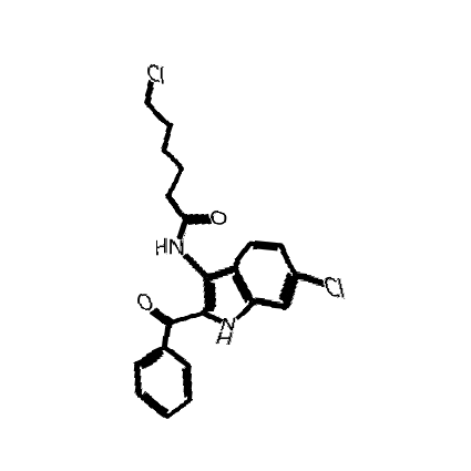 O=C(CCCCCCl)Nc1c(C(=O)c2ccccc2)[nH]c2cc(Cl)ccc12